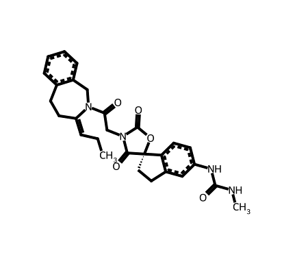 CC/C=C1/CCc2ccccc2CN1C(=O)CN1C(=O)O[C@]2(CCc3cc(NC(=O)NC)ccc32)C1=O